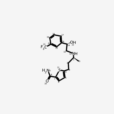 C[C@@H](CCc1ccc(C(N)=O)s1)NC[C@@H](O)c1cccc(C(F)(F)F)c1